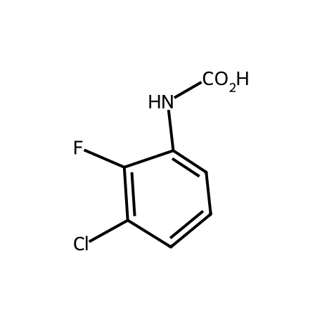 O=C(O)Nc1cccc(Cl)c1F